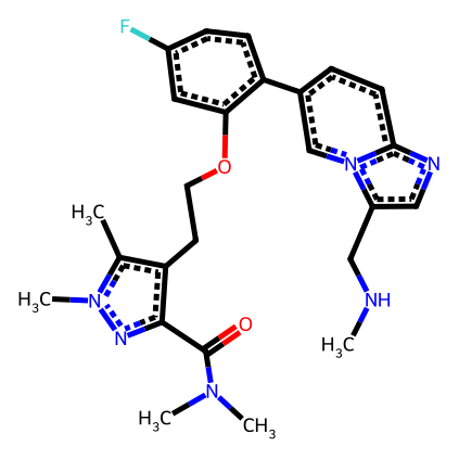 CNCc1cnc2ccc(-c3ccc(F)cc3OCCc3c(C(=O)N(C)C)nn(C)c3C)cn12